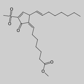 CCCCCCC=CC1C=C(S(C)(=O)=O)C(=O)C1=CCCCCCC(=O)OC